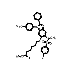 COC(=O)CCCCCOc1cc2c(cc1N(C)S(=O)(=O)c1ccc(Cl)cc1)nc(-c1ccccc1)n2-c1ccc(OC)cc1